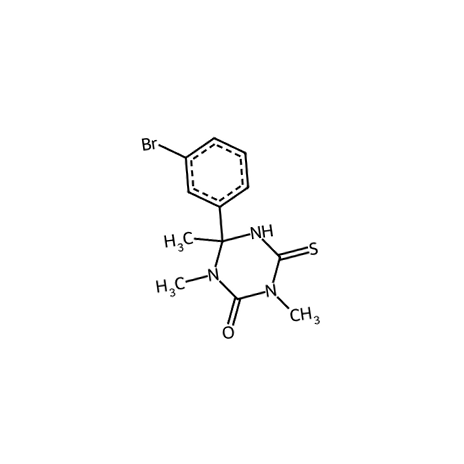 CN1C(=O)N(C)C(C)(c2cccc(Br)c2)NC1=S